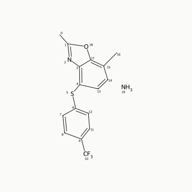 Cc1nc2c(Sc3ccc(C(F)(F)F)cc3)ccc(C)c2o1.N